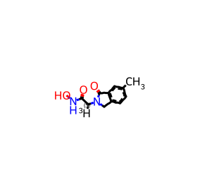 [3H][C@@H](C(=O)NO)N1Cc2ccc(C)cc2C1=O